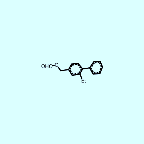 CCc1cc(COC=O)ccc1-c1ccccc1